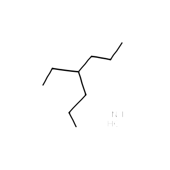 CCCC(CC)CCC.Cl.N